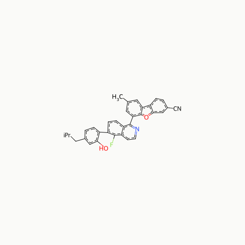 Cc1cc(-c2nccc3c(F)c(-c4ccc(CC(C)C)cc4O)ccc23)c2oc3cc(C#N)ccc3c2c1